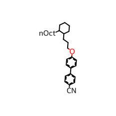 CCCCCCCCC1CCCCC1CCCOc1ccc(-c2ccc(C#N)cc2)cc1